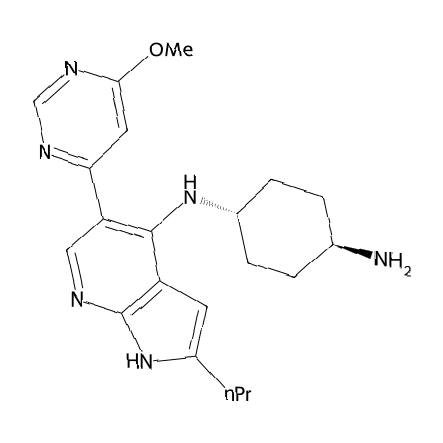 CCCc1cc2c(N[C@H]3CC[C@H](N)CC3)c(-c3cc(OC)ncn3)cnc2[nH]1